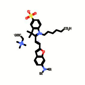 CCN(CC)c1ccc2cc(/C=C/C3=[N+](CCCCCC(=O)O)c4ccc(S(=O)(=O)[O-])cc4C3(C)C)oc2c1.C[N+](C)(C)CC(=O)[O-]